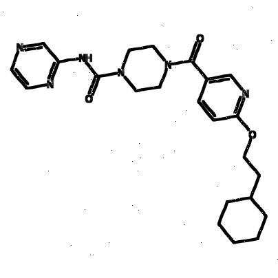 O=C(Nc1cnccn1)N1CCN(C(=O)c2ccc(OCCC3CCCCC3)nc2)CC1